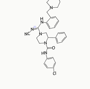 N#C/N=C(/Nc1ccccc1CN1CCOCC1)N1CCN(C(=O)Nc2ccc(Cl)cc2)C(c2ccccc2)C1